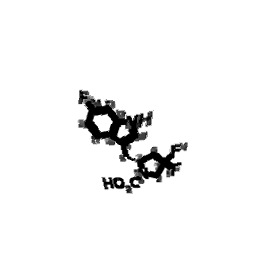 O=C(O)N1CC(F)(F)C[C@H]1Cc1c[nH]c2cc(F)ccc12